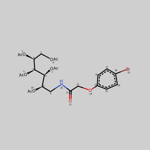 CC(=O)OC[C@H](OC(C)=O)[C@H](OC(C)=O)[C@@H](OC(C)=O)[C@@H](CNC(=O)COc1ccc(Br)cc1)OC(C)=O